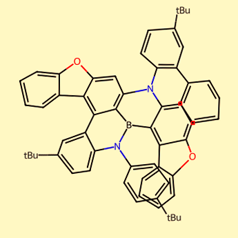 CC(C)(C)c1ccc(N2B3c4c(cc5oc6ccccc6c5c4-c4cc(C(C)(C)C)ccc42)N(c2ccc(C(C)(C)C)cc2-c2ccccc2)c2ccc4oc5ccccc5c4c23)cc1